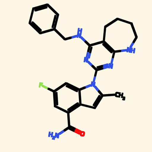 Cc1cc2c(C(N)=O)cc(F)cc2n1-c1nc2c(c(NCc3ccccc3)n1)CCCCN2